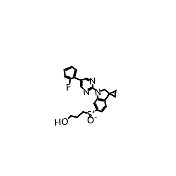 [O-][S+](CCCO)c1ccc2c(c1)N(c1ncc(-c3ccccc3F)cn1)CC21CC1